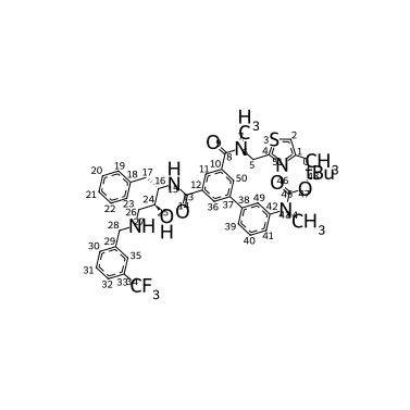 Cc1csc(CN(C)C(=O)c2cc(C(=O)N[C@@H](Cc3ccccc3)[C@@H](O)CNCc3cccc(C(F)(F)F)c3)cc(-c3cccc(N(C)C(=O)OC(C)(C)C)c3)c2)n1